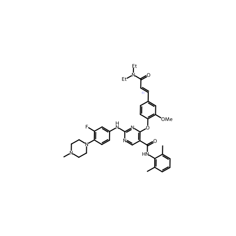 CCN(CC)C(=O)/C=C/c1ccc(Oc2nc(Nc3ccc(N4CCN(C)CC4)c(F)c3)ncc2C(=O)Nc2c(C)cccc2C)c(OC)c1